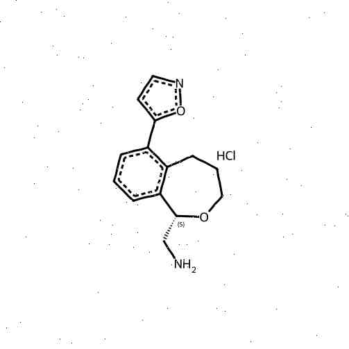 Cl.NC[C@H]1OCCCc2c(-c3ccno3)cccc21